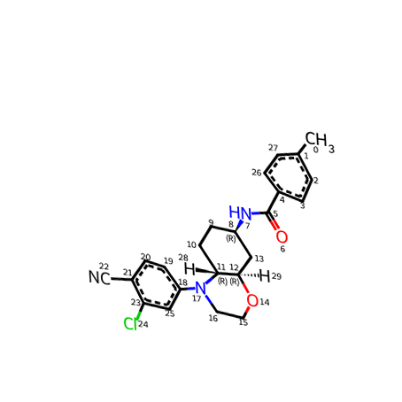 Cc1ccc(C(=O)N[C@@H]2CC[C@@H]3[C@@H](C2)OCCN3c2ccc(C#N)c(Cl)c2)cc1